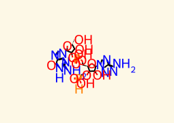 Nc1nc2c(ncn2[C@@H]2O[C@H](CO)C(O)C2OP(=O)(O)OC[C@H]2O[C@@H](n3cnc4c(N)ncnc43)C(O)C2OC[PH](=O)O)c(=O)[nH]1